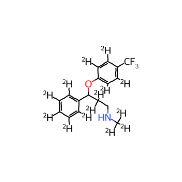 [2H]c1c([2H])c([2H])c(C(Oc2c([2H])c([2H])c(C(F)(F)F)c([2H])c2[2H])C([2H])([2H])CNC([2H])([2H])[2H])c([2H])c1[2H]